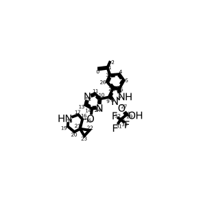 C=C(C)c1ccc2[nH]nc(-c3cncc(O[C@H]4CNCCC45CC5)n3)c2c1.O=C(O)C(F)(F)F